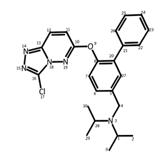 CC(C)N(Cc1ccc(Oc2ccc3nnc(Cl)n3n2)c(-c2ccccc2)c1)C(C)C